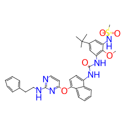 COc1c(NC(=O)Nc2ccc(Oc3ccnc(NCCc4ccccc4)n3)c3ccccc23)cc(C(C)(C)C)cc1NS(C)(=O)=O